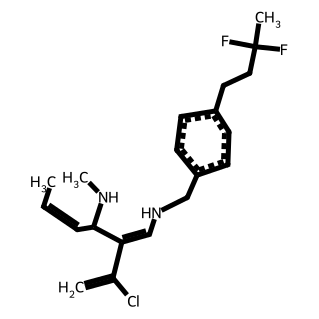 C=C(Cl)/C(=C/NCc1ccc(CCC(C)(F)F)cc1)C(/C=C\C)NC